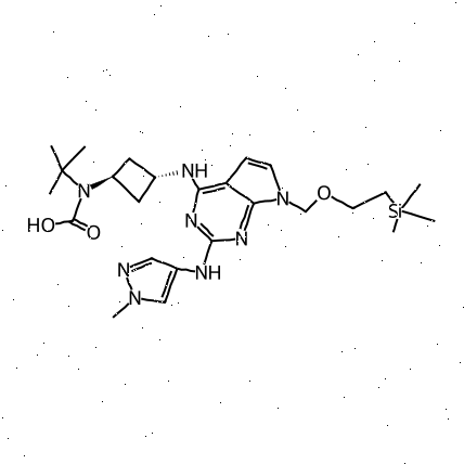 Cn1cc(Nc2nc(N[C@H]3C[C@H](N(C(=O)O)C(C)(C)C)C3)c3ccn(COCC[Si](C)(C)C)c3n2)cn1